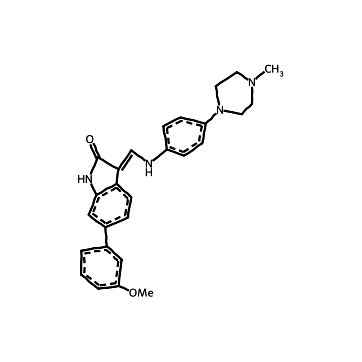 COc1cccc(-c2ccc3c(c2)NC(=O)/C3=C/Nc2ccc(N3CCN(C)CC3)cc2)c1